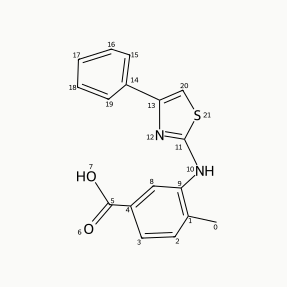 Cc1ccc(C(=O)O)cc1Nc1nc(-c2ccccc2)cs1